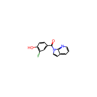 O=C(c1ccc(O)c(F)c1)n1ccc2cccnc21